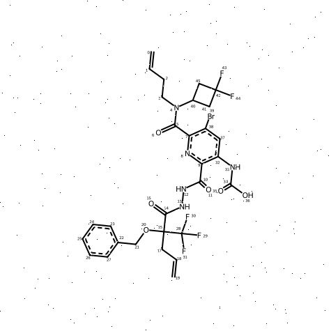 C=CCCN(C(=O)c1nc(C(=O)NNC(=O)C(CC=C)(OCc2ccccc2)C(F)(F)F)c(NC(=O)O)cc1Br)C1CC(F)(F)C1